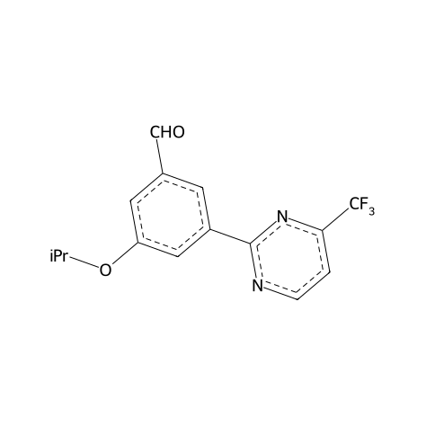 CC(C)Oc1cc(C=O)cc(-c2nccc(C(F)(F)F)n2)c1